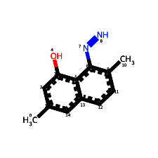 Cc1cc(O)c2c(N=N)c(C)ccc2c1